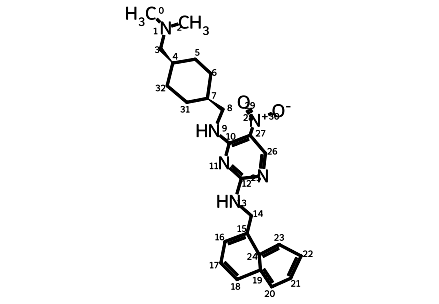 CN(C)C[C@H]1CC[C@@H](CNc2nc(NCc3cccc4ccccc34)ncc2[N+](=O)[O-])CC1